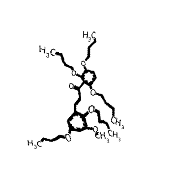 CCCCOc1cc(/C=C/C(=O)c2c(OCCCC)ccc(OCCCC)c2OCCCC)c(OCCCC)c(OC)c1